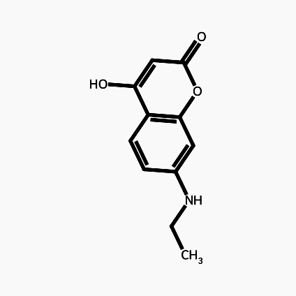 CCNc1ccc2c(O)cc(=O)oc2c1